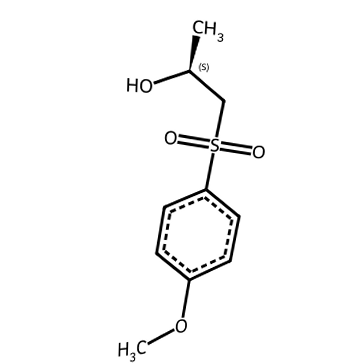 COc1ccc(S(=O)(=O)C[C@H](C)O)cc1